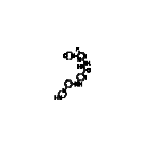 O=C(NNc1ncc(F)c(N2CCOCC2)n1)c1ccc(Nc2cccc(N3CCNCC3)c2)cn1